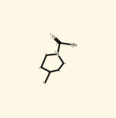 [CH2]C1CCN(C(=O)C(C)(C)C)CC1